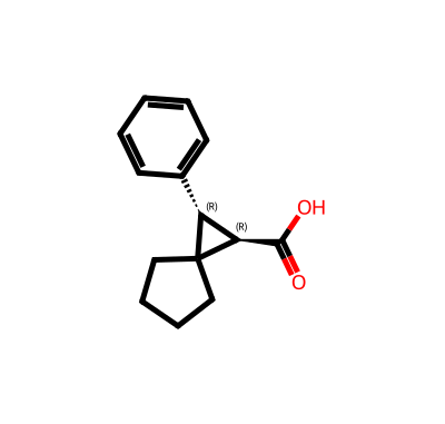 O=C(O)[C@@H]1[C@@H](c2ccccc2)C12CCCC2